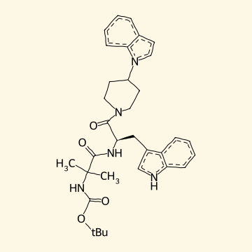 CC(C)(C)OC(=O)NC(C)(C)C(=O)N[C@H](Cc1c[nH]c2ccccc12)C(=O)N1CCC(n2ccc3ccccc32)CC1